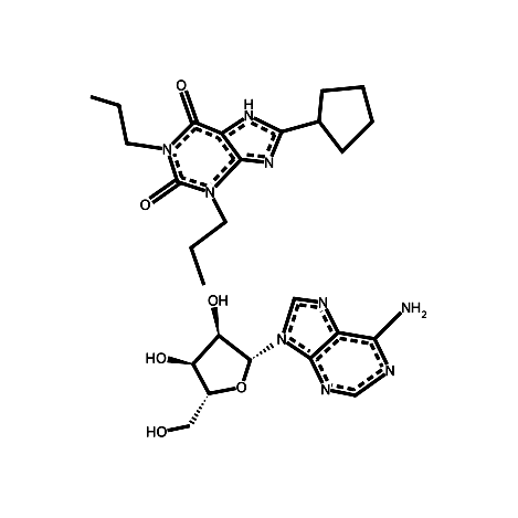 CCCn1c(=O)c2[nH]c(C3CCCC3)nc2n(CCC)c1=O.Nc1ncnc2c1ncn2[C@@H]1O[C@H](CO)[C@@H](O)[C@H]1O